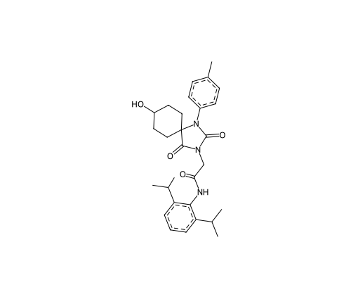 Cc1ccc(N2C(=O)N(CC(=O)Nc3c(C(C)C)cccc3C(C)C)C(=O)C23CCC(O)CC3)cc1